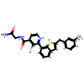 NC(=O)CNC(=O)c1ccnc(-c2cccc3cc(Cc4cccc(C(F)(F)F)c4)sc23)c1F